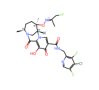 C/C(CF)=N\O[C@]1(C)CC[C@H](C)N2C[C@H]1n1cc(C(=O)NCc3ncc(F)c(Cl)c3F)c(=O)c(O)c1C2=O